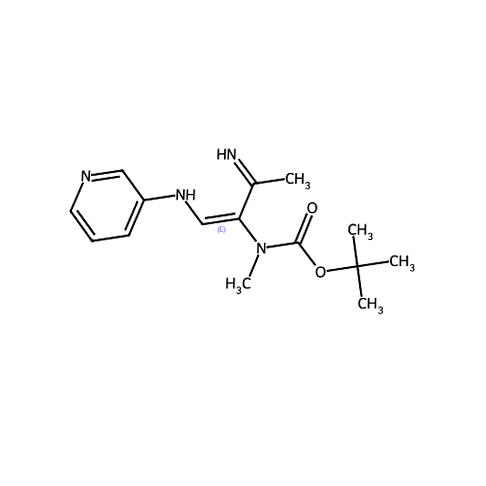 CC(=N)/C(=C\Nc1cccnc1)N(C)C(=O)OC(C)(C)C